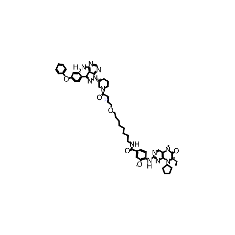 CC[C@@H]1C(=O)N(C)c2cnc(Nc3ccc(C(=O)NCCCCCCCCOC/C=C/C(=O)N4CCC[C@@H](n5nc(-c6ccc(Oc7ccccc7)cc6)c6c(N)ncnc65)C4)cc3OC)nc2N1C1CCCC1